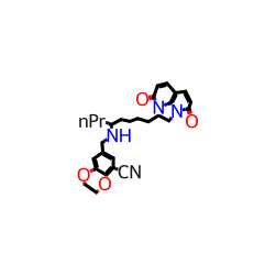 CCCC(CCCCC1Cn2c(=O)ccc3ccc(=O)n1c32)NCc1cc(C#N)c2c(c1)OCCO2